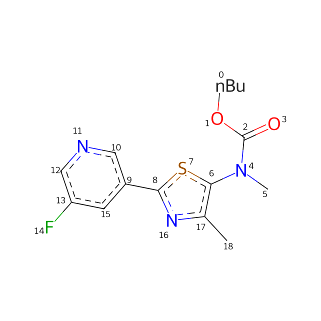 CCCCOC(=O)N(C)c1sc(-c2cncc(F)c2)nc1C